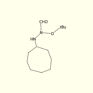 CC(C)(C)ON(C=O)NC1CCCCCCC1